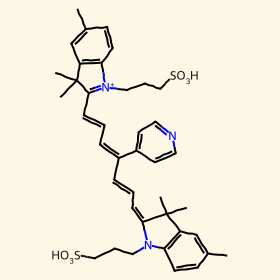 Cc1ccc2c(c1)C(C)(C)C(=CC=CC(=CC=CC1=[N+](CCCS(=O)(=O)O)c3ccc(C)cc3C1(C)C)c1ccncc1)N2CCCS(=O)(=O)O